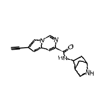 C#Cc1cc2cc(C(=O)NC3CC4CC3CN4)ncn2c1